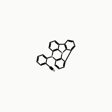 N#Cc1ccccc1B1c2cccc3c4cccc5c6cccc1c6n(c23)c45